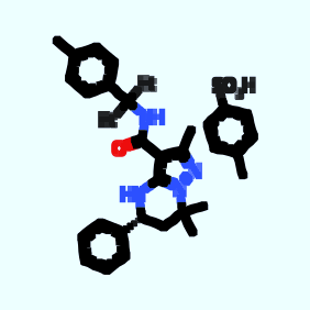 CCC(CC)(NC(=O)c1c(C)nn2c1N[C@@H](c1ccccc1)CC2(C)C)c1ccc(C)cc1.Cc1ccc(S(=O)(=O)O)cc1